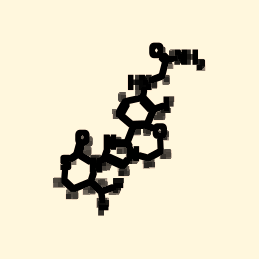 NC(=O)CNc1ccc2c(c1F)OCCn1cc(N3C(=O)SCCC3C(F)F)nc1-2